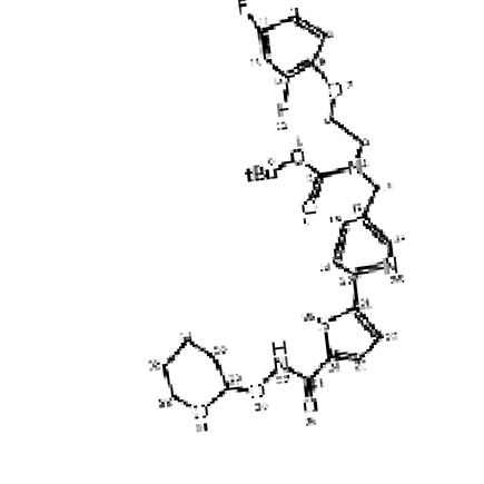 CC(C)(C)OC(=O)N(CCOc1ccc(F)cc1F)Cc1ccc(-c2ccc(C(=O)NOC3CCCCO3)s2)nc1